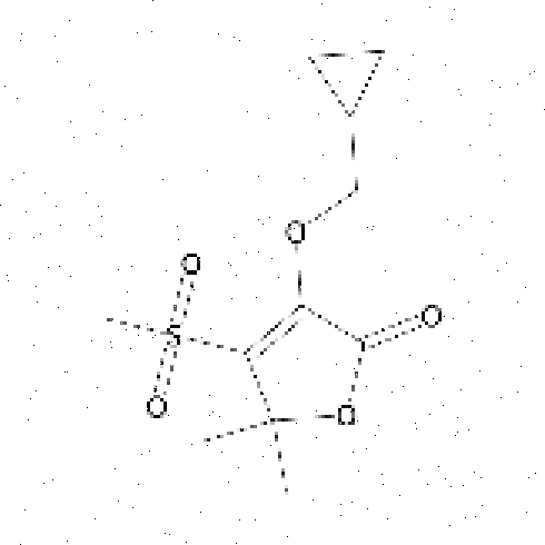 CC1(C)OC(=O)C(OCC2CC2)=C1S(C)(=O)=O